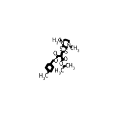 Cc1ccc(COC(=O)C(C(=O)OC(C)C)=C2SC3C(S2)N(C)CCN3C)cc1